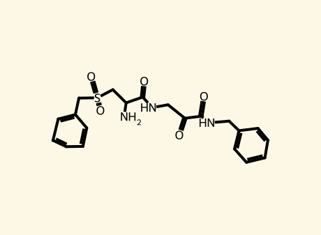 NC(CS(=O)(=O)Cc1ccccc1)C(=O)NCC(=O)C(=O)NCc1ccccc1